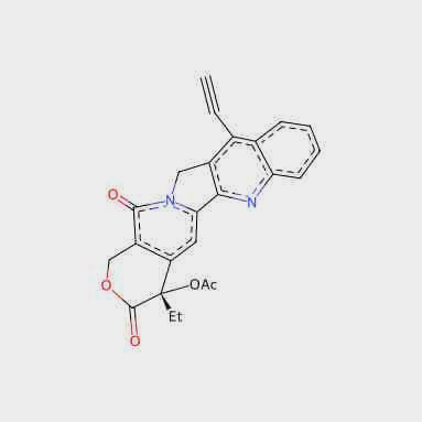 C#Cc1c2c(nc3ccccc13)-c1cc3c(c(=O)n1C2)COC(=O)[C@@]3(CC)OC(C)=O